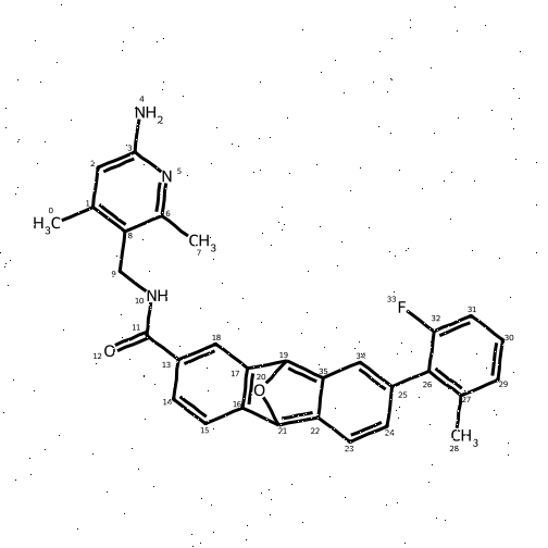 Cc1cc(N)nc(C)c1CNC(=O)c1ccc2c(c1)c1oc2c2ccc(-c3c(C)cccc3F)cc21